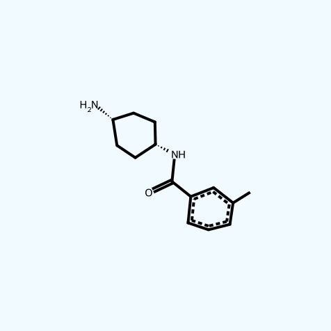 Cc1cccc(C(=O)N[C@H]2CC[C@@H](N)CC2)c1